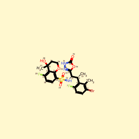 Cc1c(Br)ccc(F)c1[C@@H](C)[C@H](NS(=O)(=O)c1ccc(F)c2c1OCCC2(C)O)c1n[nH]c(=O)o1